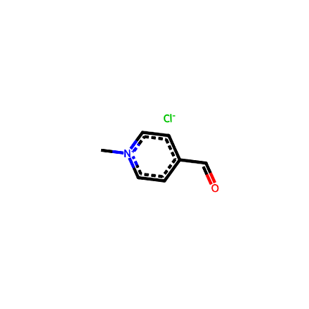 C[n+]1ccc(C=O)cc1.[Cl-]